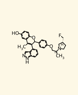 CC1=C(c2cccc3[nH]ncc23)C(c2ccc(OC[C@H](C)N3CC[C@@H](CF)C3)cc2)Oc2ccc(O)cc21